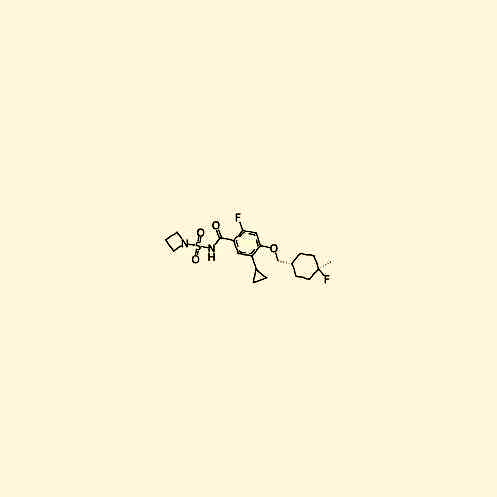 C[C@]1(F)CC[C@H](COc2cc(F)c(C(=O)NS(=O)(=O)N3CCC3)cc2C2CC2)CC1